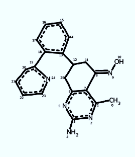 Cc1nc(N)nc2c1C(=NO)CC(c1ccccc1-c1ccccn1)C2